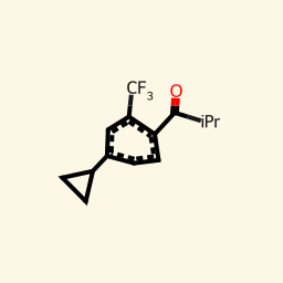 CC(C)C(=O)c1ccc(C2CC2)cc1C(F)(F)F